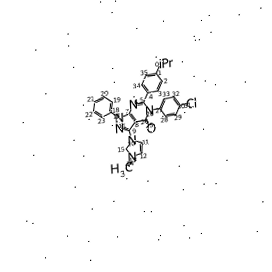 CC(C)c1ccc(-c2nc3c(c(N4C=CN(C)C4)nn3-c3ccccc3)c(=O)n2-c2ccc(Cl)cc2)cc1